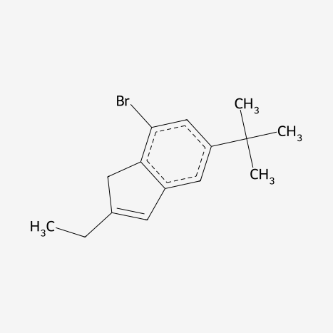 CCC1=Cc2cc(C(C)(C)C)cc(Br)c2C1